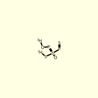 [2H]OP=S(=O)(P=S)S[2H]